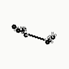 Nc1ncnc2c1c(-c1ccc(Oc3ccccc3)cc1)nn2[C@@H]1CCCN(CCCCCCCCCCCCSc2cccc3c2C(=O)N(C2CCC(=O)NC2=O)C3=O)C1